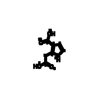 O=C(O)Cc1[nH]ccc1C(=O)O